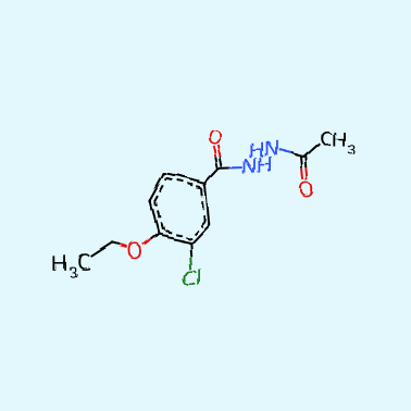 CCOc1ccc(C(=O)NNC(C)=O)cc1Cl